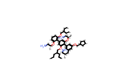 CCCC(CCC)COc1cc(-c2c(OCC(CC)CC)cccc2O[C@H](C)CN)cc(O[C@H](C)CN)c1-c1cc(C[C@H](C)CN)cc(OCC2CCCC2)c1